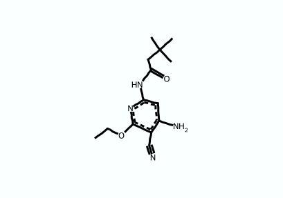 CCOc1nc(NC(=O)CC(C)(C)C)cc(N)c1C#N